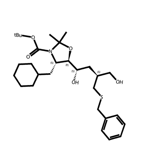 CC(C)(C)OC(=O)N1[C@@H](CC2CCCCC2)[C@H]([C@@H](O)C[C@@H](CO)CSCc2ccccc2)OC1(C)C